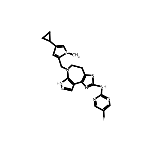 Cn1cc(C2CC2)cc1CN1CCc2sc(Nc3ncc(F)cn3)nc2-c2cn[nH]c21